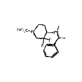 CC(c1ccccc1)N(C)[C@@H]1CCN(C(=O)O)CC1(F)F